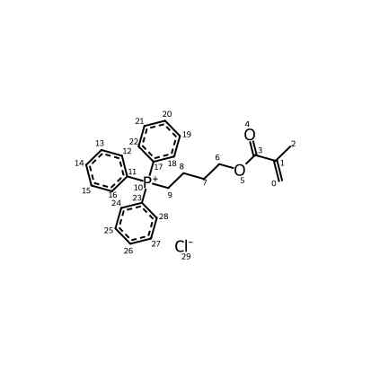 C=C(C)C(=O)OCCCC[P+](c1ccccc1)(c1ccccc1)c1ccccc1.[Cl-]